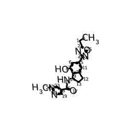 CCc1nc(-c2cc(O)c3c(c2)CC[C@H]3NC(=O)c2cnn(C)c2)no1